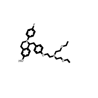 CCOCCN(CCOCC)CCOc1ccc(CC2c3ccc(O)cc3CCN2c2ccc(F)cc2)cc1